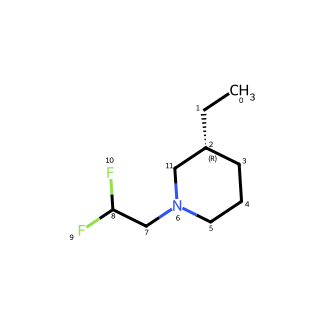 CC[C@@H]1CCCN(CC(F)F)C1